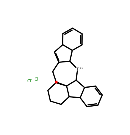 C1=CC2C(C=C1)[CH]1[Ti+2][CH]3C4C=CC=CC4C4CCCCC43CCC13CCCCC23.[Cl-].[Cl-]